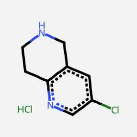 Cl.Clc1cnc2c(c1)CNCC2